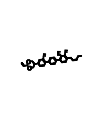 C=CC1OCC(c2ccc(-c3ccc(-c4ccc(C/C=C\CC)c(F)c4F)cc3)c(F)c2)CO1